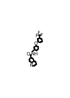 O=C(NCc1cccc(Oc2cccc(C(F)(F)F)c2)c1)c1ccc2ncccc2c1